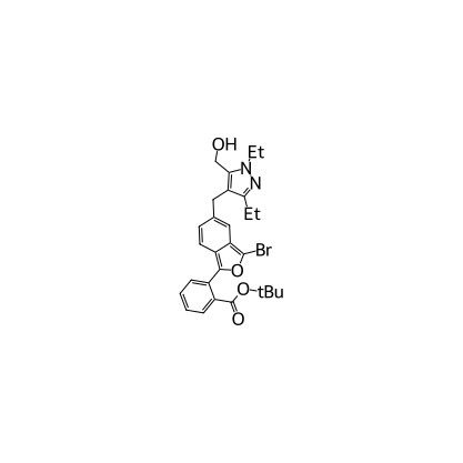 CCc1nn(CC)c(CO)c1Cc1ccc2c(-c3ccccc3C(=O)OC(C)(C)C)oc(Br)c2c1